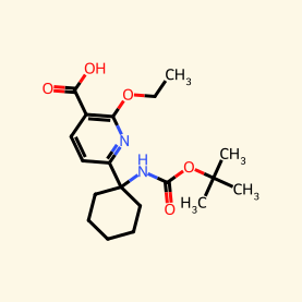 CCOc1nc(C2(NC(=O)OC(C)(C)C)CCCCC2)ccc1C(=O)O